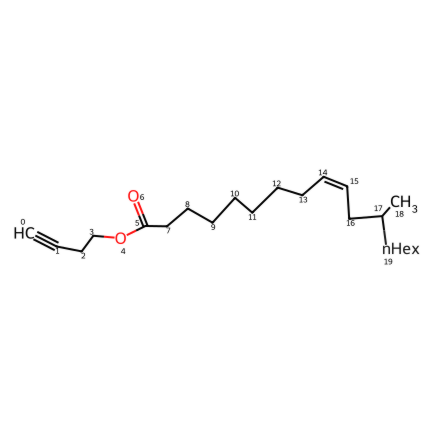 C#CCCOC(=O)CCCCCCC/C=C\CC(C)CCCCCC